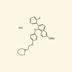 COc1ccc2c(Oc3ccc(OCCN4CCCCC4)cc3)c(-c3ccccc3F)ccc2c1.Cl